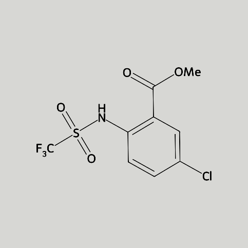 COC(=O)c1cc(Cl)ccc1NS(=O)(=O)C(F)(F)F